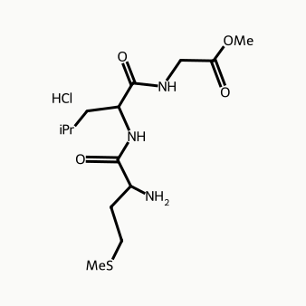 COC(=O)CNC(=O)C(CC(C)C)NC(=O)C(N)CCSC.Cl